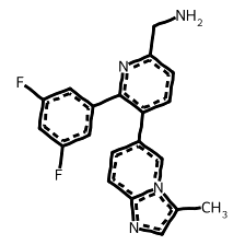 Cc1cnc2ccc(-c3ccc(CN)nc3-c3cc(F)cc(F)c3)cn12